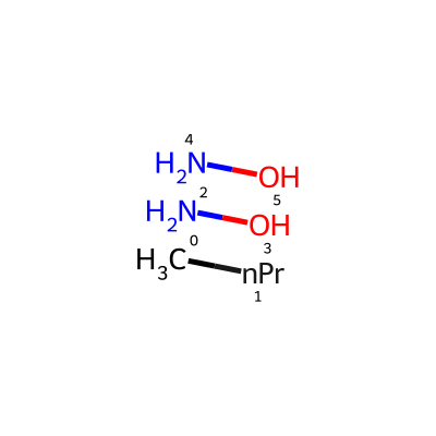 CCCC.NO.NO